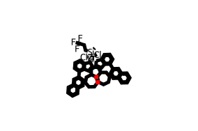 C[SiH](CCC(F)(F)F)[Zr]([Cl])([Cl])([CH]1C(CC2CCCCCC2)=Cc2c(-c3ccc4ccccc4c3)cccc21)[CH]1C(CC2CCCCCC2)=Cc2c(-c3ccc4ccccc4c3)cccc21